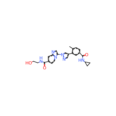 Cc1ccc(C(=O)NC2CC2)cc1-c1cnn(-c2cnc3cc(C(=O)NCCO)ccn23)c1